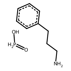 NCCCc1ccccc1.O=[PH2]O